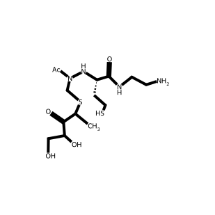 CC(=O)N(CSC(C)C(=O)C(O)CO)N[C@@H](CCS)C(=O)NCCN